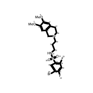 COc1cc2c(cc1OC)CN(CCCNS(=O)(=O)c1cc(Br)c(F)cc1F)CC2